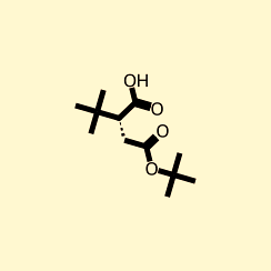 CC(C)(C)OC(=O)C[C@@H](C(=O)O)C(C)(C)C